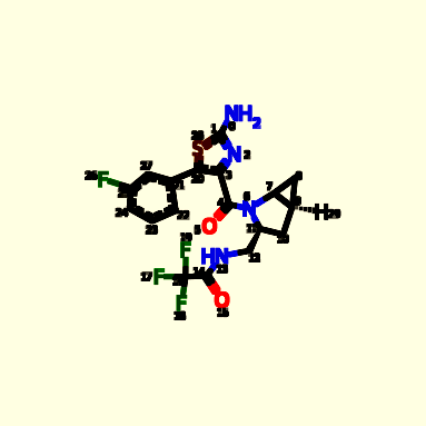 Nc1nc(C(=O)N2C3C[C@H]3C[C@H]2CNC(=O)C(F)(F)F)c(-c2cccc(F)c2)s1